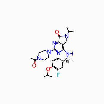 CC(=O)N1CCN(c2nc(N[C@H](C)c3ccc(OC(C)C)c(F)c3)c3c(n2)C(=O)N(C(C)C)C3)CC1